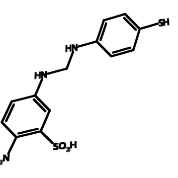 Nc1ccc(NCNc2ccc(S)cc2)cc1S(=O)(=O)O